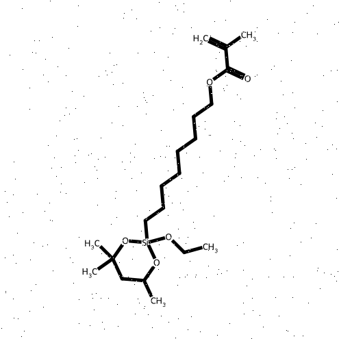 C=C(C)C(=O)OCCCCCCCC[Si]1(OCC)OC(C)CC(C)(C)O1